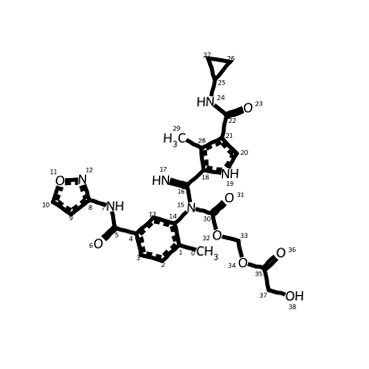 Cc1ccc(C(=O)Nc2ccon2)cc1N(C(=N)c1[nH]cc(C(=O)NC2CC2)c1C)C(=O)OCOC(=O)CO